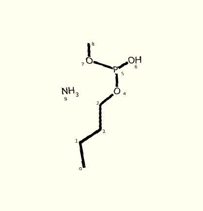 CCCCOP(O)OC.N